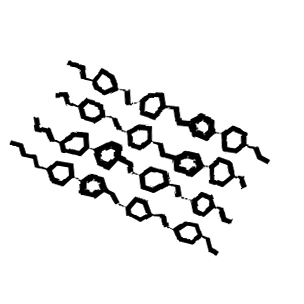 CCCCC[C@H]1CC[C@H](c2ccc(CC[C@H]3CC[C@H](CC[C@H]4CC[C@H](CCC)CC4)CC3)cc2)CC1.CCCC[C@H]1CC[C@H](c2ccc(CC[C@H]3CC[C@H](CC[C@H]4CC[C@H](CCC)CC4)CC3)cc2)CC1.CCC[C@H]1CC[C@H](CC[C@H]2CC[C@H](CCc3ccc([C@H]4CC[C@H](CC)CC4)cc3)CC2)CC1.CCC[C@H]1CC[C@H](CC[C@H]2CC[C@H](CCc3ccc([C@H]4CC[C@H](CCC)CC4)cc3)CC2)CC1